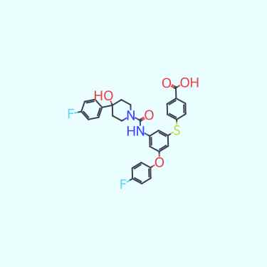 O=C(O)c1ccc(Sc2cc(NC(=O)N3CCC(O)(c4ccc(F)cc4)CC3)cc(Oc3ccc(F)cc3)c2)cc1